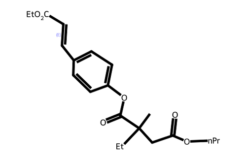 CCCOC(=O)CC(C)(CC)C(=O)Oc1ccc(/C=C/C(=O)OCC)cc1